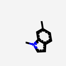 Cc1ccc2ccn(C)c2c1